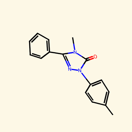 Cc1ccc(-n2nc(-c3ccccc3)n(C)c2=O)cc1